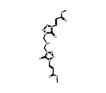 COC(=O)/C=C/n1nnn(CNCn2nnn(/C=C/C(=O)OC)c2=O)c1=O